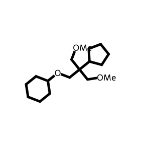 COCC(COC)(COC1CCCCC1)C1CCCC1